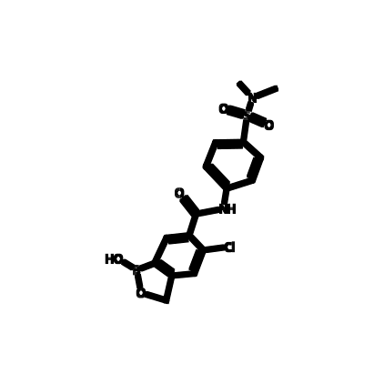 CN(C)S(=O)(=O)c1ccc(NC(=O)c2cc3c(cc2Cl)COB3O)cc1